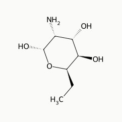 CC[C@H]1O[C@H](O)[C@H](N)[C@H](O)[C@H]1O